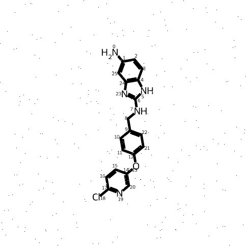 Nc1ccc2[nH]c(NCc3ccc(Oc4ccc(Cl)nc4)cc3)nc2c1